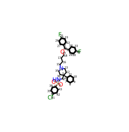 O=S(=O)(NCC1(c2ccccc2)CCN(CCCCOC(c2ccc(F)cc2)c2ccc(F)cc2)CC1)c1ccc(Cl)cc1